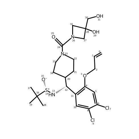 C=CCOc1cc(Cl)c(Cl)cc1[C@H](N[S@@+]([O-])C(C)(C)C)C1CCN(C(=O)N2CC(O)(CO)C2)CC1